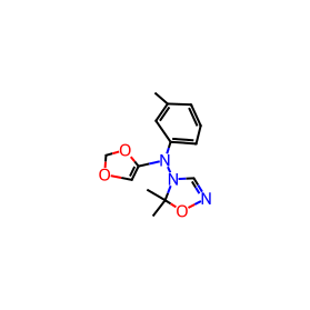 Cc1cccc(N(C2=COCO2)N2C=NOC2(C)C)c1